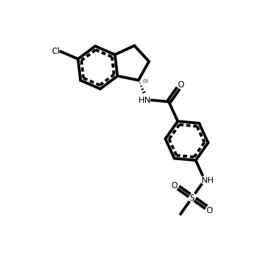 CS(=O)(=O)Nc1ccc(C(=O)N[C@H]2CCc3cc(Cl)ccc32)cc1